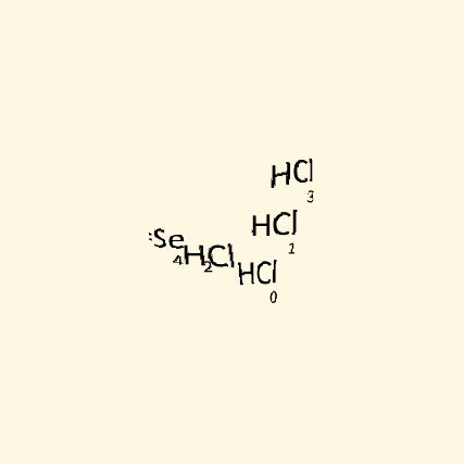 Cl.Cl.Cl.Cl.[Se]